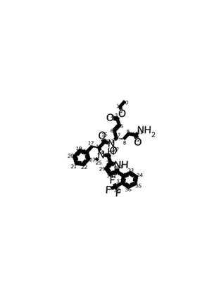 CCOC(=O)/C=C/[C@H](CCC(N)=O)NC(=O)[C@H](Cc1ccccc1)N(C)C(=O)c1ccc(-c2ccccc2C(F)(F)F)[nH]1